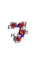 CCO[Si](CCCN1CCC[Si](OCC)(OCC)OC(CCCCCCC(C)C2CN(CCC[Si](OCC)(OCC)OCC)CCC[Si](OCC)(OCC)O2)C1)(OCC)OCC